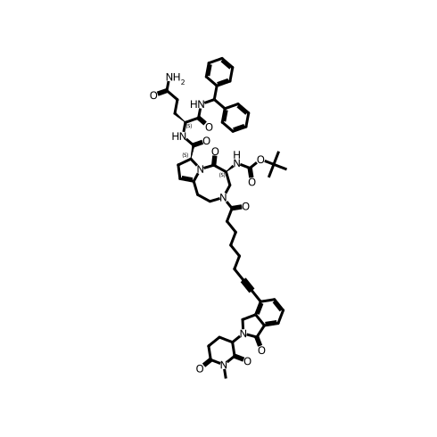 CN1C(=O)CCC(N2Cc3c(C#CCCCCCC(=O)N4CCC5=CC[C@@H](C(=O)N[C@@H](CCC(N)=O)C(=O)NC(c6ccccc6)c6ccccc6)N5C(=O)[C@@H](NC(=O)OC(C)(C)C)C4)cccc3C2=O)C1=O